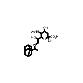 CC(=O)NC1C(O)CC(O)(C(=O)O)OC1C(O)CNC(C)C12CC3CC(CC(C3)C1)C2